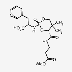 COC(=O)CCNC(=O)[C@@H]1OP(=O)(NC(Cc2cccnc2)C(=O)O)OCC1(C)C